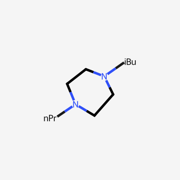 CCCN1CCN(C(C)CC)CC1